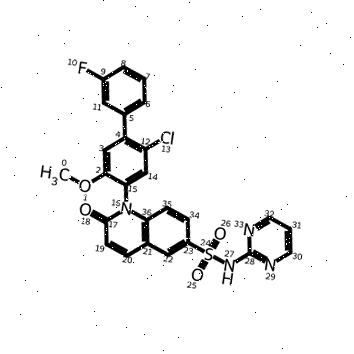 COc1cc(-c2cccc(F)c2)c(Cl)cc1-n1c(=O)ccc2cc(S(=O)(=O)Nc3ncccn3)ccc21